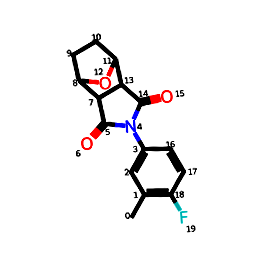 Cc1cc(N2C(=O)C3C4CCC(O4)C3C2=O)ccc1F